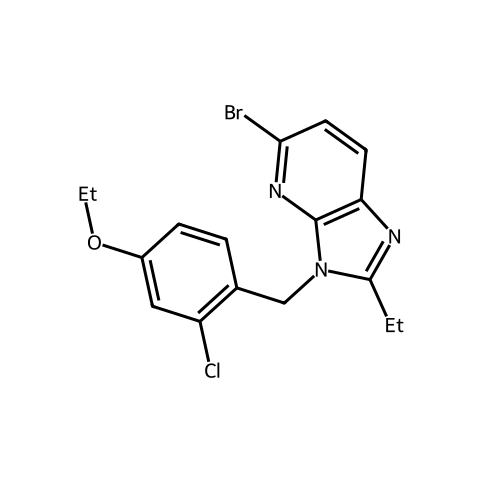 CCOc1ccc(Cn2c(CC)nc3ccc(Br)nc32)c(Cl)c1